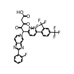 O=C(O)CC(=O)C(=O)C(c1ccc(-c2ccc(C(F)(F)F)cc2C(F)(F)F)nn1)n1ccc2nc(-c3ccccc3F)nc-2c1